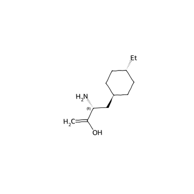 C=C(O)[C@H](N)C[C@H]1CC[C@H](CC)CC1